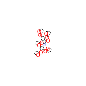 O=C(/C=C/c1ccc(OC2CCCCO2)c(OC2CCCCO2)c1)c1c(OC2CCCCO2)cc(OC2CCCCO2)cc1OC1CCCCO1